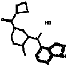 CC1CCN(C(=O)N2CCC2)CC1N(C)c1ncnc2[nH]ccc12.Cl